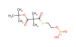 CC(C)(C)OC(=O)C(C)(C)C(=O)SCCO[PH](=O)O